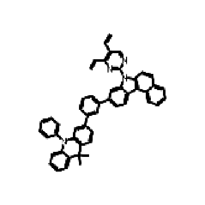 C=Cc1cnc(-n2c3cc(-c4cccc(-c5ccc6c(c5)N(c5ccccc5)c5ccccc5C6(C)C)c4)ccc3c3c4ccccc4ccc32)nc1C=C